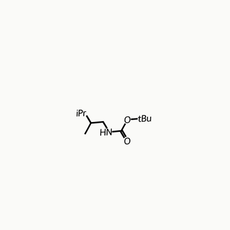 CC(C)C(C)CNC(=O)OC(C)(C)C